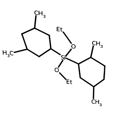 CCO[Si](OCC)(C1CC(C)CC(C)C1)C1CC(C)CCC1C